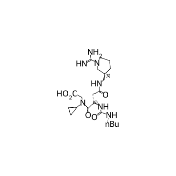 CCCCNC(=O)N[C@@H](CC(=O)NC[C@@H]1CCCN(C(=N)N)C1)C(=O)N(CC(=O)O)C1CC1